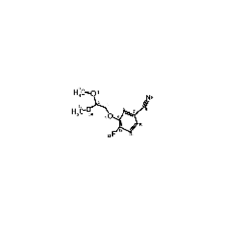 COC(COc1cc(C#N)ccc1F)OC